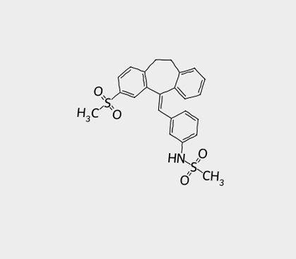 CS(=O)(=O)Nc1cccc(C=C2c3ccccc3CCc3ccc(S(C)(=O)=O)cc32)c1